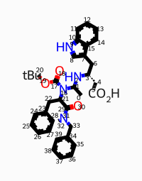 CC(N[C@@H](CC(=O)O)Cc1c[nH]c2ccccc12)N(C(=O)OC(C)(C)C)C(Cc1ccccc1)C(=O)N(C)Cc1ccccc1